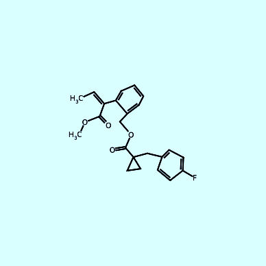 CC=C(C(=O)OC)c1ccccc1COC(=O)C1(Cc2ccc(F)cc2)CC1